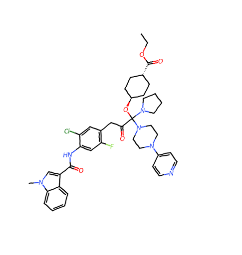 CCOC(=O)[C@H]1CC[C@H](OC(C(=O)Cc2cc(Cl)c(NC(=O)c3cn(C)c4ccccc34)cc2F)(N2CCCC2)N2CCN(c3ccncc3)CC2)CC1